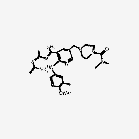 C=C(N)/N=C(C)\N=C(/N)c1cc(CN2CCN(C(=O)N(C)C)CC2)cnc1Nc1cnc(OC)c(F)c1